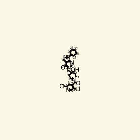 O=C(c1cc(Cl)ncc1Cl)N1CCC(O)(Cn2cnc3c(cnn3-c3ccccc3)c2=O)CC1